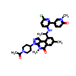 CC(=O)N1CCC(n2ncc3c4c(C(C)Nc5ccc(Cl)nc5-c5ccc(=O)n(C)c5)cc(C)cc4c(=O)n(C)c32)CC1